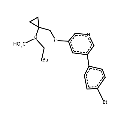 CCc1ccc(-c2cncc(OCC3(N(CC(C)(C)C)C(=O)O)CC3)c2)cc1